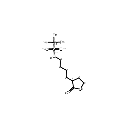 O=C1OCCC1CCCCOS(=O)(=O)C(F)(F)F